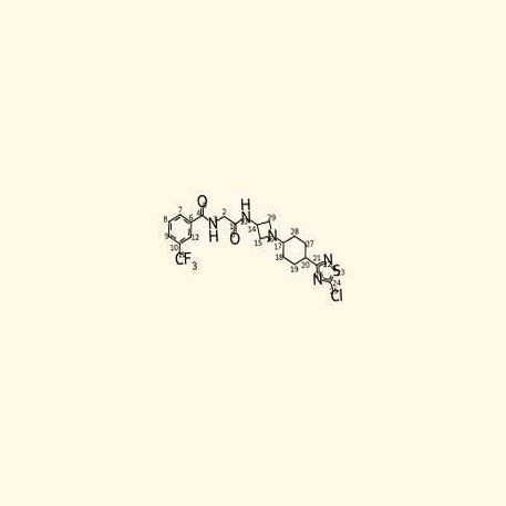 O=C(CNC(=O)c1cccc(C(F)(F)F)c1)NC1CN(C2CCC(c3nsc(Cl)n3)CC2)C1